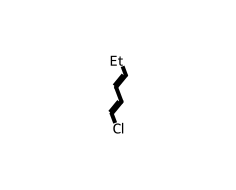 CC/C=C/C=C/Cl